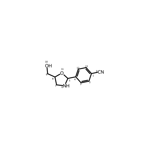 N#Cc1ccc(C2NCC(CO)O2)cc1